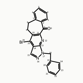 O=C1c2ccccc2CCc2c1nc1c(cnn1Cc1ccccc1)c2Br